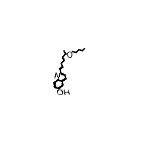 CCCCCOC(C)CCC/C=C/c1ccc2cc(O)ccc2n1